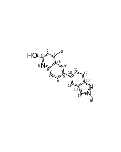 Cc1cc(O)nc2ccc(-c3ccc4nn(C)cc4c3)cc12